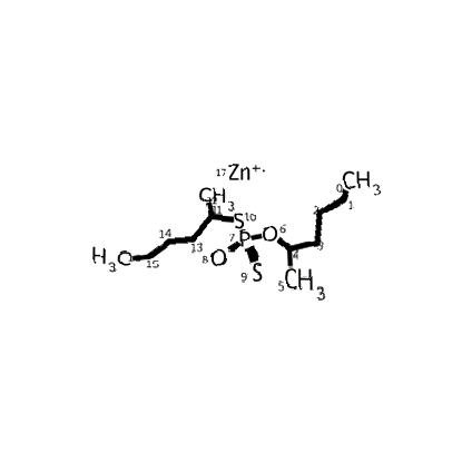 CCCCC(C)OP([O-])(=S)SC(C)CCCC.[Zn+]